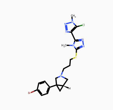 Cn1nnc(-c2nnc(SCCCN3C[C@@H]4CC4(c4ccc(Br)cc4)C3)n2C)c1Cl